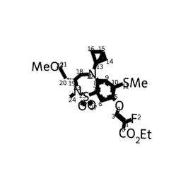 CCOC(=O)/C(F)=C/Oc1cc2c(cc1SC)N(C13CC(C1)C3)C[C@@H](CCOC)N(C)S2(=O)=O